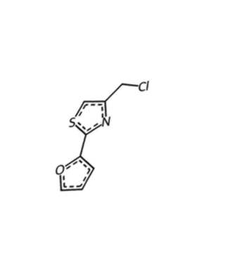 ClCc1csc(-c2ccco2)n1